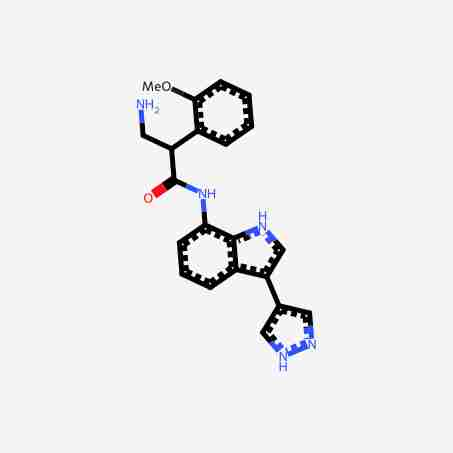 COc1ccccc1C(CN)C(=O)Nc1cccc2c(-c3cn[nH]c3)c[nH]c12